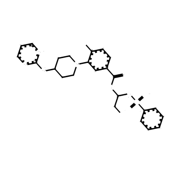 O=C(O)CC(NC(=O)c1ccc(F)c(N2CCC(Nc3ncccn3)CC2)c1)NS(=O)(=O)c1ccccc1